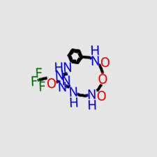 O=C1COCC(=O)NCc2cccc(c2)Nc2nc(nc(OCC(F)(F)F)n2)NCCN1